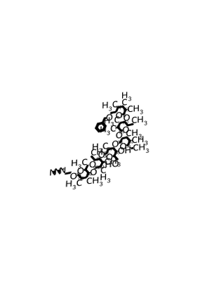 CCC1O[C@@H](OCCN=[N+]=[N-])[C@@H](C)C(C)[C@@H]1O[C@@H]1OC(CC)[C@@H](O[C@@H]2OC(CO)[C@@H](O)C(O[C@H]3O[C@@H](CC)[C@@H](C)C(C)C3O[C@@H]3OC(CC)[C@@H](O[C@@H]4OC(COCc5ccccc5)[C@H](C)C(C)[C@@H]4C)C(C)[C@@H]3C)[C@H]2C)C(C)[C@@H]1C